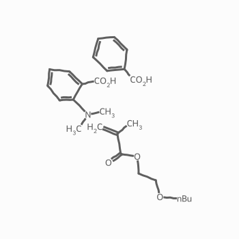 C=C(C)C(=O)OCCOCCCC.CN(C)c1ccccc1C(=O)O.O=C(O)c1ccccc1